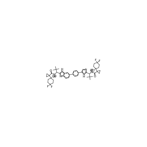 CC(C)(C)C(NC(=O)C1(C2(O)CCC(F)(F)CC2)CC1)c1nc2ccc(-c3ccc(-c4cnc([C@@H](NC(=O)C5(C6(O)CCC(F)(F)CC6)CC5)C(C)(C)C)[nH]4)cc3)cc2[nH]1